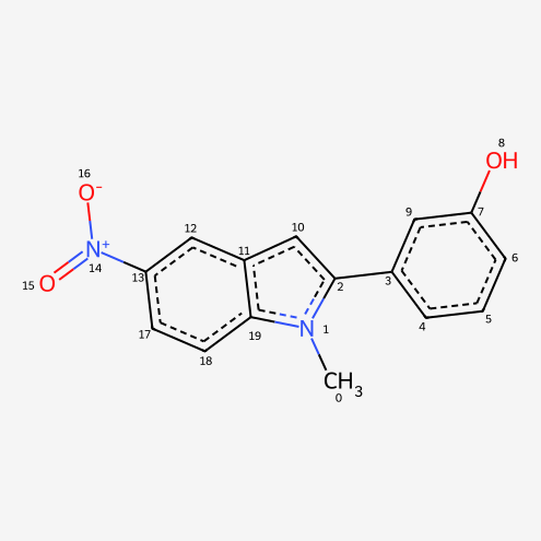 Cn1c(-c2cccc(O)c2)cc2cc([N+](=O)[O-])ccc21